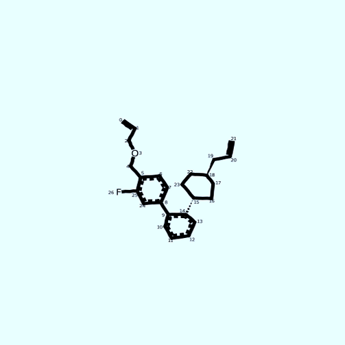 C=CCOCc1ccc(-c2ccccc2[C@H]2CC[C@H](CC=C)CC2)cc1F